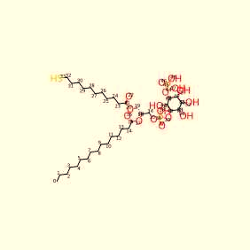 CCCCCCCCCCCCCCCC(=O)O[C@H](COC(=O)CCCCCCCCCCS)COP(=O)(O)OC1C(O)[C@@H](OP(=O)(O)O)C(O)[C@@H](O)[C@H]1O